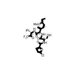 C=C(/C=C\C(=C/C)OC)[C@H](NC(=O)[C@H](CO)NC(=O)c1ccc(Cl)s1)C(=O)N[C@H](C(=O)C(F)(F)F)C(C)C